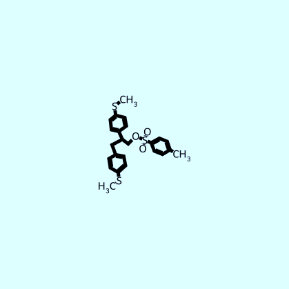 CSc1ccc(CC(COS(=O)(=O)c2ccc(C)cc2)c2ccc(SC)cc2)cc1